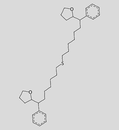 c1ccc(C(CCCCCCSCCCCCCC(c2ccccc2)C2CCCO2)C2CCCO2)cc1